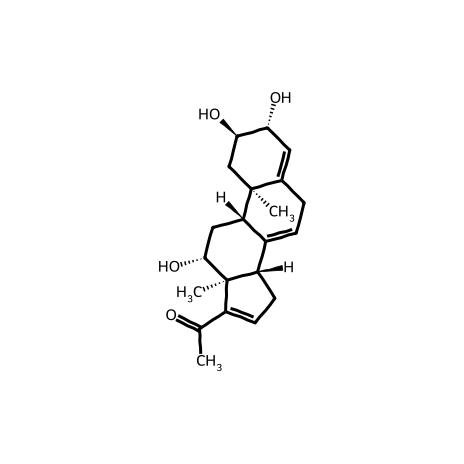 CC(=O)C1=CC[C@H]2C3=CCC4=C[C@@H](O)[C@H](O)C[C@]4(C)[C@H]3C[C@@H](O)[C@]12C